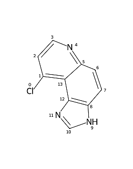 Clc1ccnc2ccc3[nH]cnc3c12